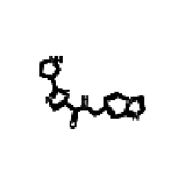 O=C(NCc1ccn2ccnc2c1)c1cnc(C2CCNC2)s1